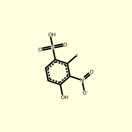 O=[N+]([O-])c1c(O)ccc(S(=O)(=O)O)c1I